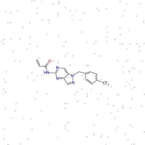 C=CC(=O)Nc1ncc2c(cnn2Cc2ccc(C(F)(F)F)cc2)n1